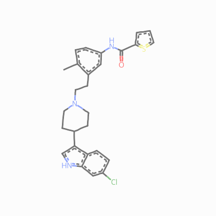 Cc1ccc(NC(=O)c2cccs2)cc1CCN1CCC(c2c[nH]c3cc(Cl)ccc23)CC1